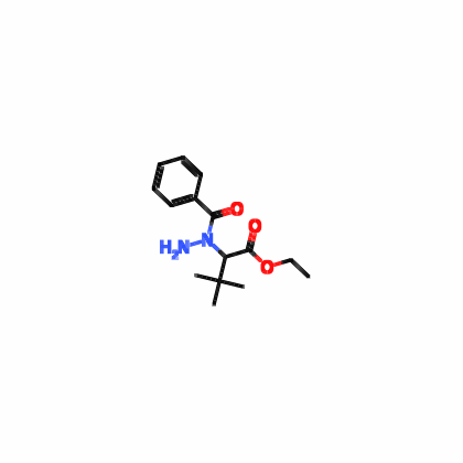 CCOC(=O)C(N(N)C(=O)c1ccccc1)C(C)(C)C